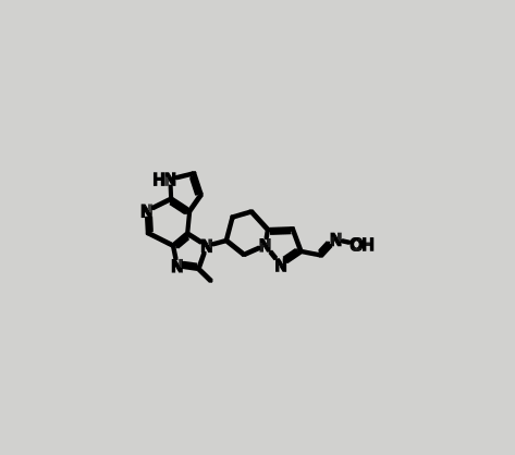 Cc1nc2cnc3[nH]ccc3c2n1C1CCc2cc(/C=N/O)nn2C1